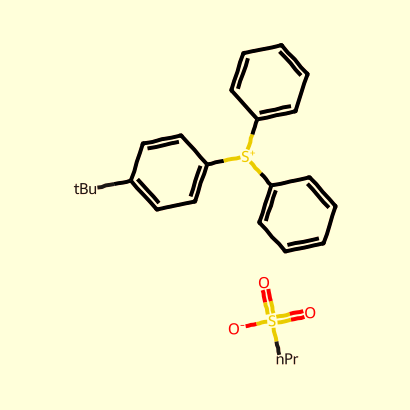 CC(C)(C)c1ccc([S+](c2ccccc2)c2ccccc2)cc1.CCCS(=O)(=O)[O-]